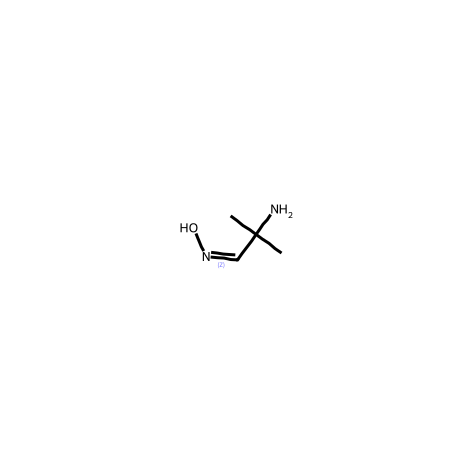 CC(C)(N)/C=N\O